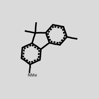 CNc1ccc2c(c1)-c1cc(C)ccc1C2(C)C